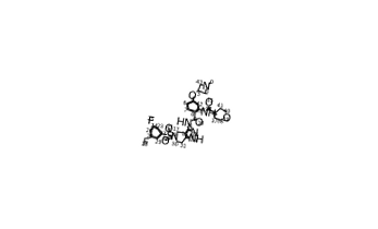 CN1CC(Oc2ccc(C(=O)Nc3n[nH]c4c3CN(S(=O)(=O)c3cc(F)cc(F)c3)CC4)c(NC(=O)C3CCOCC3)c2)C1